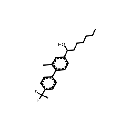 CCCCCCC(O)c1ccc(-c2ccc(C(F)(F)F)cc2)c(C)c1